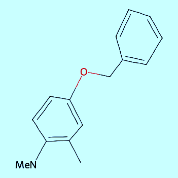 CNc1ccc(OCc2ccccc2)cc1C